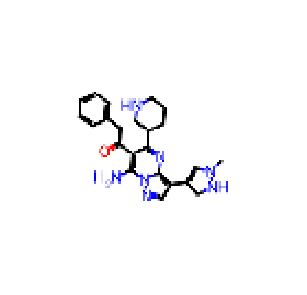 CN1C=C(c2cnn3c(N)c(C(=O)Cc4ccccc4)c(C4CCCNC4)nc23)CN1